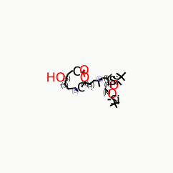 C/C(=C\[C@@H](C)[C@@H](C[C@@H](C)O[Si](C)(C)C(C)(C)C)O[Si](C)(C)C(C)(C)C)C[C@H](C)[C@H]1C/C=C/C[C@H](C)[C@@H](O)CCCC(=O)O1